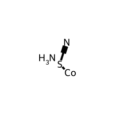 N.N#C[S][Co]